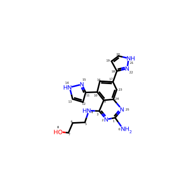 Nc1nc(NCCCO)c2c(-c3cc[nH]n3)cc(-c3cc[nH]n3)cc2n1